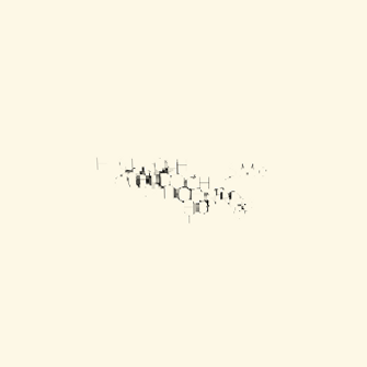 CSCC[C@H](CN[C@]12CC[C@@H](C(C)C)[C@@H]1[C@H]1CC[C@@H]3[C@@]4(C)CC[C@H](OC(=O)CC(C)(C)CC(=O)O)C(C)(C)[C@@H]4CC[C@@]3(C)[C@]1(C)CC2)N1CCS(=O)(=O)CC1